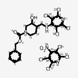 O=C(OCc1ccccc1)N1CCC(CNc2c(Cl)c(Cl)nc(Cl)c2Cl)C(O)C1.O=[N+]([O-])c1c(Cl)c(Cl)nc(Cl)c1Cl